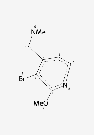 CNCc1ccnc(OC)c1Br